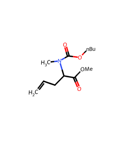 C=CCC(C(=O)OC)N(C)C(=O)OCCCC